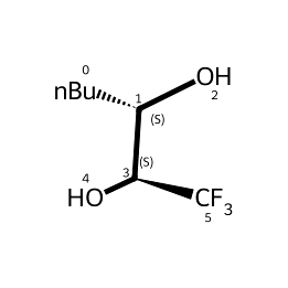 CCCC[C@H](O)[C@H](O)C(F)(F)F